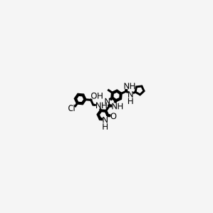 Cc1cc(C(=N)NC2CCCC2)cc2[nH]c(-c3c(NCC(O)c4cccc(Cl)c4)cc[nH]c3=O)nc12